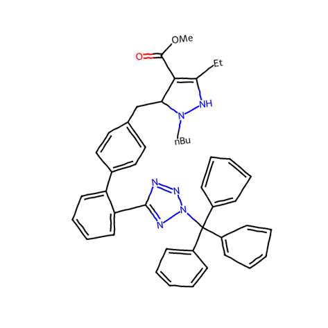 CCCCN1NC(CC)=C(C(=O)OC)C1Cc1ccc(-c2ccccc2-c2nnn(C(c3ccccc3)(c3ccccc3)c3ccccc3)n2)cc1